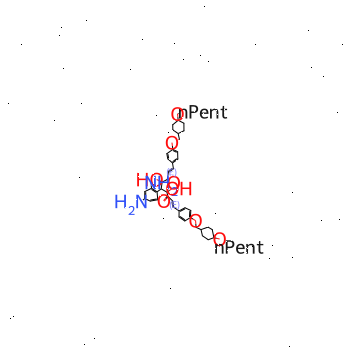 CCCCCOC1CCC(COc2ccc(/C=C/C(=O)C(O)C(c3ccc(N)cc3N)C(O)C(=O)/C=C/c3ccc(OCC4CCC(OCCCCC)CC4)cc3)cc2)CC1